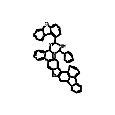 c1ccc(C2NC(c3cccc4oc5ccccc5c34)=NC(c3ccccc3-c3ccc4c(c3)oc3cc5c6c(cccc6c34)-c3ccccc3-5)N2)cc1